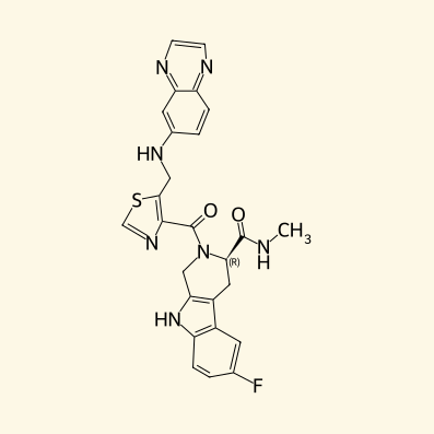 CNC(=O)[C@H]1Cc2c([nH]c3ccc(F)cc23)CN1C(=O)c1ncsc1CNc1ccc2nccnc2c1